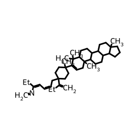 C=N/C(=C\C=C/CC1(C(=C)CC)CCC(C)(C2=CCC3(C)C4CCC5C(CCC6(C)CCCC56)C4CCC3C2(C)C)CC1)CC